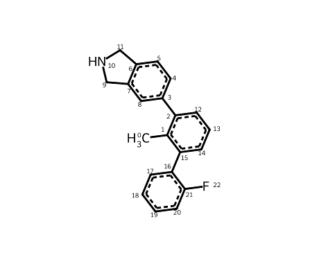 Cc1c(-c2ccc3c(c2)CNC3)cccc1-c1ccccc1F